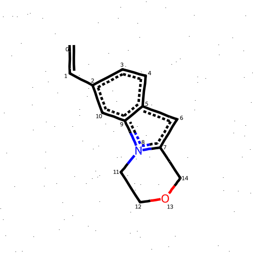 C=Cc1ccc2cc3n(c2c1)CCOC3